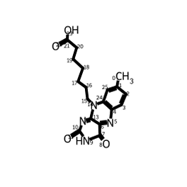 Cc1ccc2nc3c(=O)[nH]c(=O)nc-3n(CCCCCCC(=O)O)c2c1